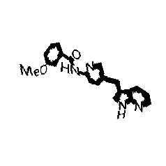 COc1cccc(C(=O)Nc2ccc(Cc3c[nH]c4ncccc34)cn2)c1